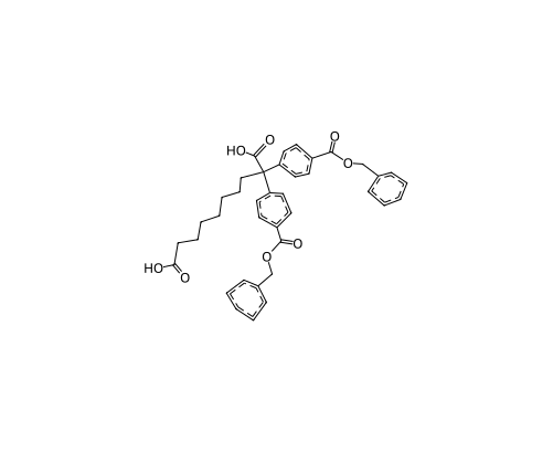 O=C(O)CCCCCCCC(C(=O)O)(c1ccc(C(=O)OCc2ccccc2)cc1)c1ccc(C(=O)OCc2ccccc2)cc1